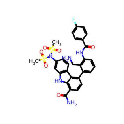 CS(=O)(=O)N(c1ccc2c(c1)[nH]c1c(C(N)=O)ccc(-c3cccc(NC(=O)c4ccc(F)cc4)c3CN)c12)S(C)(=O)=O